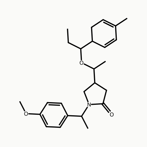 CCC(OC(C)C1CC(=O)N(C(C)c2ccc(OC)cc2)C1)C1C=CC(C)=CC1